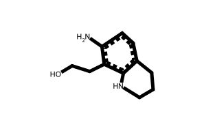 Nc1ccc2c(c1CCO)NCCC2